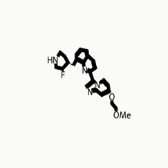 COCCOc1ccn2c(-c3ccc4cccc(C[C@H]5CCNC[C@@H]5F)c4n3)cnc2c1